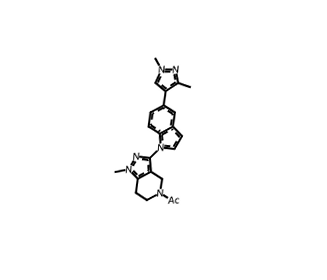 CC(=O)N1CCc2c(c(-n3ccc4cc(-c5cn(C)nc5C)ccc43)nn2C)C1